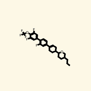 CCCC1CCC(C2CC=C(c3ccc(-c4cc(F)c(OC(F)(F)F)c(F)c4)c(F)c3)CC2)OC1